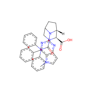 Cn1ccc2nc(N3C4CC[C@@H]3[C@@H](C(=O)O)N(C(=O)N(c3ccccc3)c3ccccc3)C4)nc(-c3ccccc3)c21